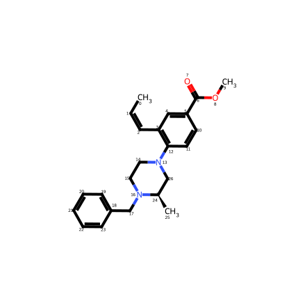 C/C=C\c1cc(C(=O)OC)ccc1N1CCN(Cc2ccccc2)[C@H](C)C1